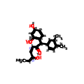 C/C=C(O)\C=C/C(=O)C(c1ccc(C)c(C)c1)c1ccc(O)cc1O